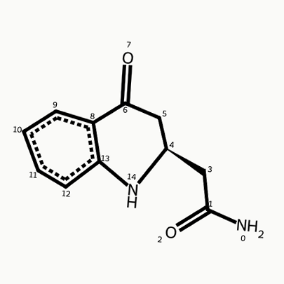 NC(=O)C[C@@H]1CC(=O)c2ccccc2N1